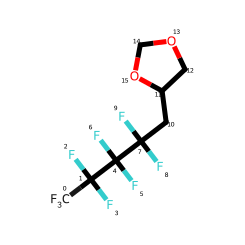 FC(F)(F)C(F)(F)C(F)(F)C(F)(F)CC1COCO1